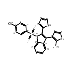 N#Cc1sccc1-c1c(-c2cccs2)n(S(=O)(=O)c2ccc(Cl)cc2)c2ccccc12